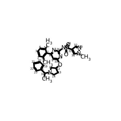 Cc1cccc(C)c1-c1cc(OC2CCN(C(C)c3ccccc3)C2)nc(NS(=O)(=O)c2cnn(C)c2)n1